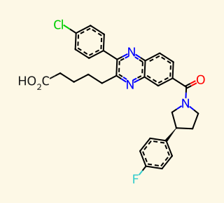 O=C(O)CCCCc1nc2cc(C(=O)N3CC[C@@H](c4ccc(F)cc4)C3)ccc2nc1-c1ccc(Cl)cc1